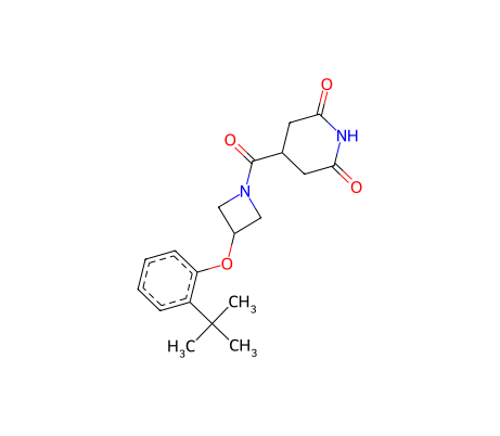 CC(C)(C)c1ccccc1OC1CN(C(=O)C2CC(=O)NC(=O)C2)C1